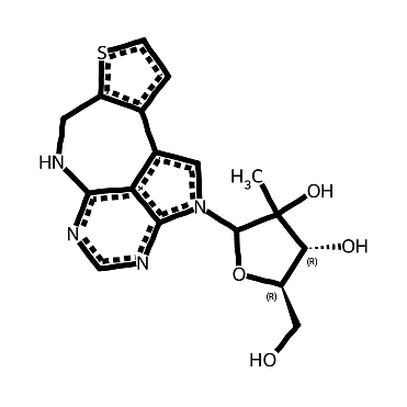 CC1(O)C(n2cc3c4c(ncnc42)NCc2sccc2-3)O[C@H](CO)[C@H]1O